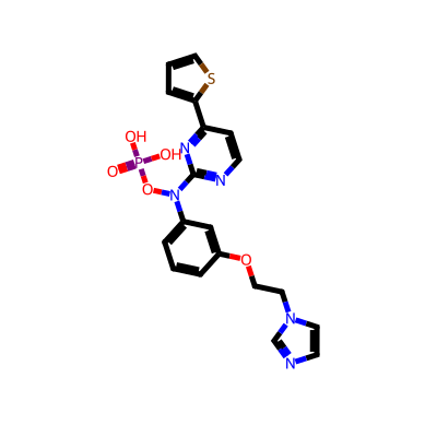 O=P(O)(O)ON(c1cccc(OCCn2ccnc2)c1)c1nccc(-c2cccs2)n1